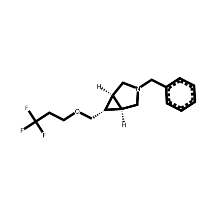 FC(F)(F)CCOC[C@@H]1[C@H]2CN(Cc3ccccc3)C[C@@H]12